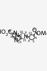 COC(=O)c1cccc(N2CCc3c(cnc4cc(C(=O)O)nn34)C2)c1